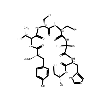 CCC(C)C(C)(NC(=O)[C@H](CC(C)C)NC(=O)[C@H](CO)NC(=O)C(NC(=O)[C@H](Cc1ccc(O)cc1)NC(C)=O)[C@@H](C)O)C(=O)N[C@@H](Cc1cnc[nH]1)C(=O)N[C@@H](CO)C(C)=O